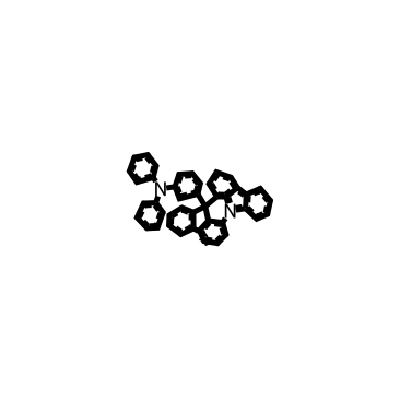 CSc1ccccc1C1(c2cccc(N(c3ccccc3)c3ccccc3)c2)c2ccccc2-n2c3ccccc3c3cccc1c32